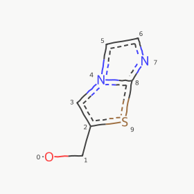 [O]Cc1cn2ccnc2s1